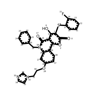 O=c1oc2c(c(O)c1Sc1ccccc1F)c(=O)n(Cc1ccccc1)c1cc(OCCn3ccnc3)ccc21